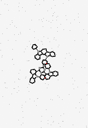 c1ccc(-n2c3ccccc3c3c2ccc2c4ccccc4n(-c4ccc(-c5nc(-c6cccc7c8ccccc8n(-c8ccccc8)c67)nc(-c6cccc7c8ccccc8n(-c8ccccc8)c67)n5)cc4)c23)cc1